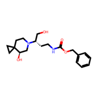 O=C(NCC[C@@H](CO)N1CCC2(CC2)[C@H](O)C1)OCc1ccccc1